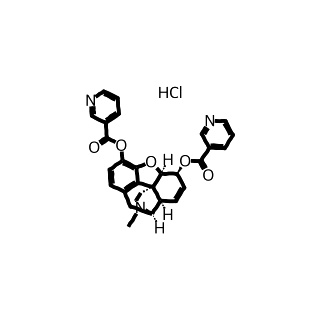 CN1CC[C@]23c4c5ccc(OC(=O)c6cccnc6)c4O[C@H]2[C@@H](OC(=O)c2cccnc2)C=C[C@H]3[C@H]1C5.Cl